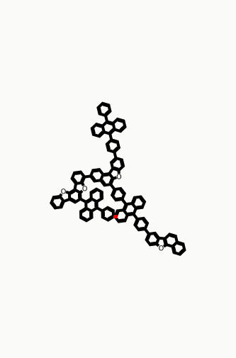 c1ccc(-c2c3ccccc3c(-c3ccc(-c4ccc5oc6c(-c7ccc(-c8c9ccccc9c(-c9ccc(-c%10ccc%11oc%12c%13ccccc%13ccc%12c%11c%10)cc9)c9ccccc89)cc7)cc7cc(-c8cccc9c8oc8c(-c%10c%11ccccc%11c(-c%11ccccc%11)c%11ccccc%10%11)cc%10c%11ccccc%11oc%10c89)ccc7c6c5c4)cc3)c3ccccc23)cc1